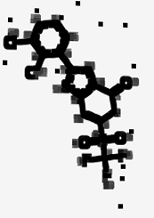 O=C1CC(S(=O)(=O)C(F)(F)F)=Cc2sc(-c3cccc(Cl)c3Cl)[c]c21